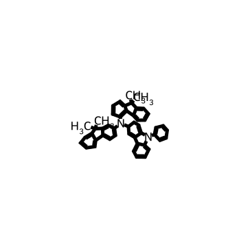 CC1(C)c2ccccc2-c2ccc(N(c3cccc4c3-c3ccccc3C4(C)C)C3C=c4c(n(-c5ccccc5)c5ccccc45)=CC3)cc21